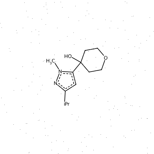 CC(C)c1cc(C2(O)CCOCC2)n(C)n1